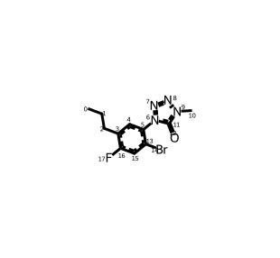 CCCc1cc(-n2nnn(C)c2=O)c(Br)cc1F